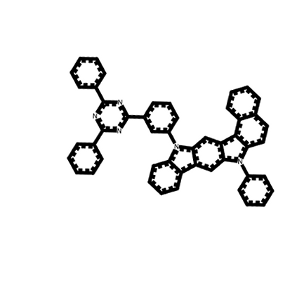 c1ccc(-c2nc(-c3ccccc3)nc(-c3cccc(-n4c5ccccc5c5cc6c(cc54)c4c5ccccc5ccc4n6-c4ccccc4)c3)n2)cc1